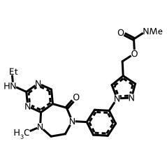 CCNc1ncc2c(n1)N(C)CCN(c1cccc(-n3cc(COC(=O)NC)cn3)c1)C2=O